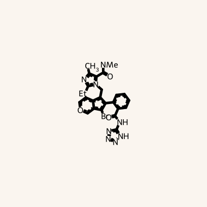 CCc1nc(C)c(C(=O)NC)n1Cc1c2ccocc-2c(Br)c1-c1ccccc1C(=O)Nc1nnn[nH]1